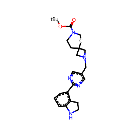 CC(C)(C)OC(=O)N1CCC2(CC1)CN(Cc1cnc(-c3cccc4c3CCN4)nc1)C2